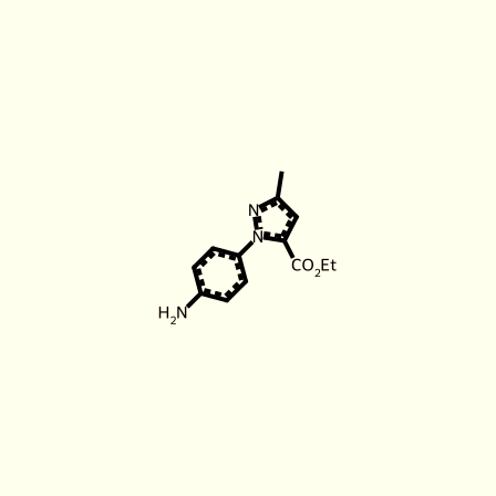 CCOC(=O)c1cc(C)nn1-c1ccc(N)cc1